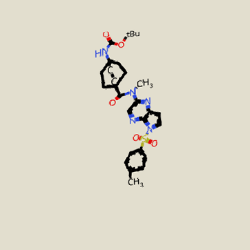 Cc1ccc(S(=O)(=O)n2ccc3nc(N(C)C(=O)C45CCC(NC(=O)OC(C)(C)C)(CC4)CC5)cnc32)cc1